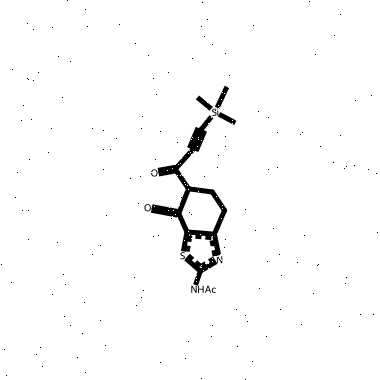 CC(=O)Nc1nc2c(s1)C(=O)C(C(=O)C#C[Si](C)(C)C)CC2